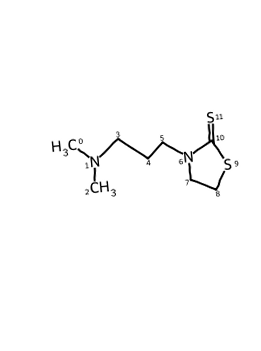 CN(C)CCCN1CCSC1=S